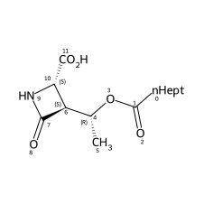 CCCCCCCC(=O)O[C@H](C)[C@H]1C(=O)N[C@@H]1C(=O)O